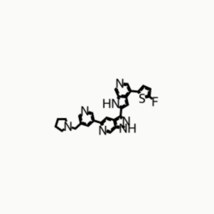 Fc1ccc(-c2cncc3[nH]c(-c4n[nH]c5cnc(-c6cncc(CN7CCCC7)c6)cc45)cc23)s1